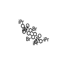 CC(C)c1ccc(C(C)C)c(N2C(=O)c3ccc4c5c(Br)cc6c7c(ccc(c8c(Br)cc(c3c48)C2=O)c75)C(=O)N(c2cc(C(C)C)ccc2C(C)C)C6=O)c1